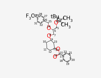 CC(C)(C)[Si](C)(C)OC[C@@H](CO[C@@H]1CCC[C@H](OC(=O)c2ccccc2)C1)OCc1ccc(C(F)(F)F)cc1